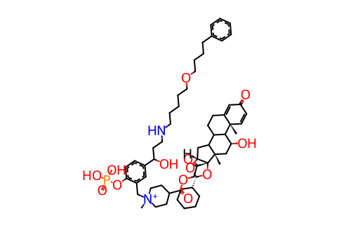 C[C@]12C=CC(=O)C=C1CCC1C2[C@@H](O)C[C@@]2(C)C1C[C@H]1O[C@@H](C3CCCCC3)O[C@]12C(=O)COC(=O)C1CC[N+](C)(Cc2cc(C(O)CCNCCCCCOCCCCc3ccccc3)ccc2OP(=O)(O)O)CC1